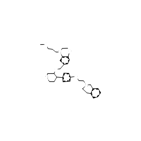 COCCCN1CCOc2ccc(COC3CNCCC3c3ccc(OCCN4CCc5ccccc5C4)cc3)cc21